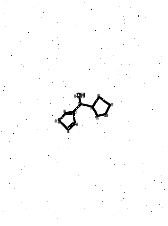 OC(c1ccsc1)C1CCCC1